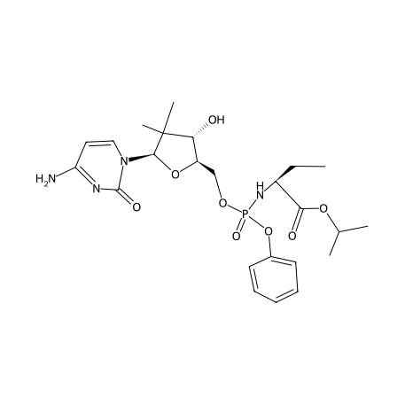 CC[C@H](NP(=O)(OC[C@H]1O[C@@H](n2ccc(N)nc2=O)C(C)(C)[C@@H]1O)Oc1ccccc1)C(=O)OC(C)C